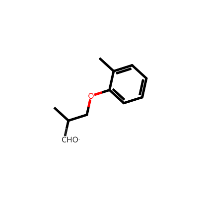 Cc1ccccc1OCC(C)[C]=O